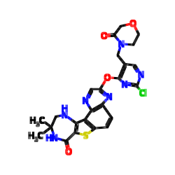 CC1(C)CNc2c(sc3ccc4nc(Oc5nc(Cl)ncc5CN5CCOCC5=O)cnc4c23)C(=O)N1